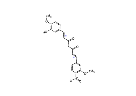 COc1ccc(/C=C/C(=O)CC(=O)/C=C/c2ccc([N+](=O)[O-])c(OC)c2)cc1O